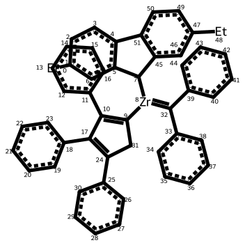 CCc1ccc2c(c1)[CH]([Zr]([C]1=C(c3ccccc3)C(c3ccccc3)=C(c3ccccc3)C1)=[C](c1ccccc1)c1ccccc1)c1cc(CC)ccc1-2